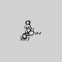 COC[C@@]1(c2ccccc2)CNC[C@H]2[C@@H]1OC(=O)N2Cc1ccccc1